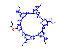 CCNc1nc2nc(n1)[nH]c1nc(NCC)nc(n1)[nH]c1nc(NCC)nc(n1)[nH]c1nc(OC(C)CC)nc(n1)[nH]c1nc(NCC)nc(n1)[nH]c1nc(NCC)nc(n1)[nH]2